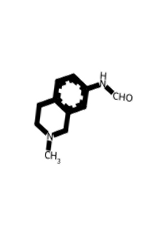 CN1CCc2ccc(NC=O)cc2C1